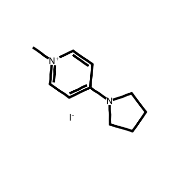 C[n+]1ccc(N2CCCC2)cc1.[I-]